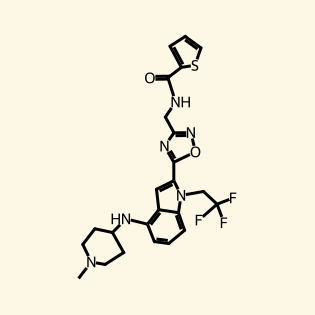 CN1CCC(Nc2cccc3c2cc(-c2nc(CNC(=O)c4cccs4)no2)n3CC(F)(F)F)CC1